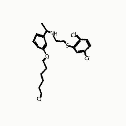 CC(NCCSc1cc(Cl)ccc1Cl)c1cccc(OCCCCCCCl)c1